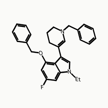 CCn1cc(C2=CN(Cc3ccccc3)CCC2)c2c(OCc3ccccc3)cc(F)cc21